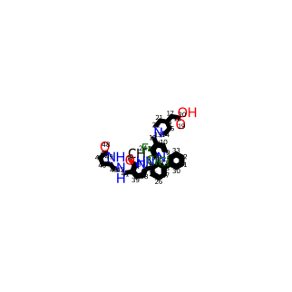 COc1nc(C2(Nc3nccc(CN4CCC(CC(=O)O)CC4)c3F)C=CC=C(c3ccccc3)C2(Cl)Cl)ccc1CNCC1CCC(=O)N1